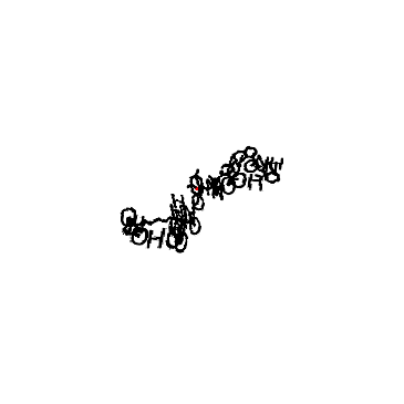 C=C(/C(=N\C(=C/C)N1CCc2cccc(C(=O)Nc3nc4ccccc4s3)c2C1)C(=O)O)c1cnn(CC23CC4(C)CC(C)(C2)CC(OCCNC(=O)[C@H](CS(=O)(=O)O)NC(=O)CCCCCN2C(=O)C=CC2=O)(C4)C3)c1C